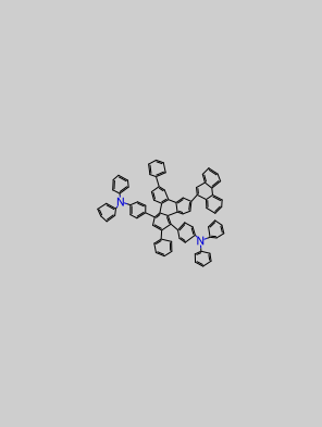 c1ccc(-c2ccc3c(c2)c2cc(-c4cc5ccccc5c5ccccc45)ccc2c2c(-c4ccc(N(c5ccccc5)c5ccccc5)cc4)c(-c4ccccc4)cc(-c4ccc(N(c5ccccc5)c5ccccc5)cc4)c32)cc1